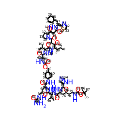 CC[C@H](C)[C@@H]([C@@H](CC(=O)N1CCC[C@H]1[C@H](OC)[C@@H](C)C(=O)N[C@@H](Cc1ccccc1)c1nccs1)OC)N(C)C(=O)[C@@H](NC(=O)C(C)(C)NC(=O)OCc1ccc(NC(=O)[C@H](CCCNC(N)=O)NC(=O)[C@@H](NC(=O)[C@H](CCCCNC(=O)OC(C)(C)C)NC(=O)c2cnc[nH]2)C(C)C)cc1)C(C)C